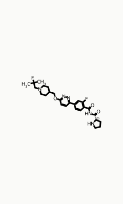 CC(C)(F)CN1CCC(COc2ccc(-c3ccc(C(=O)NC(=O)[C@@H]4CCCN4)c(F)c3)nn2)CC1